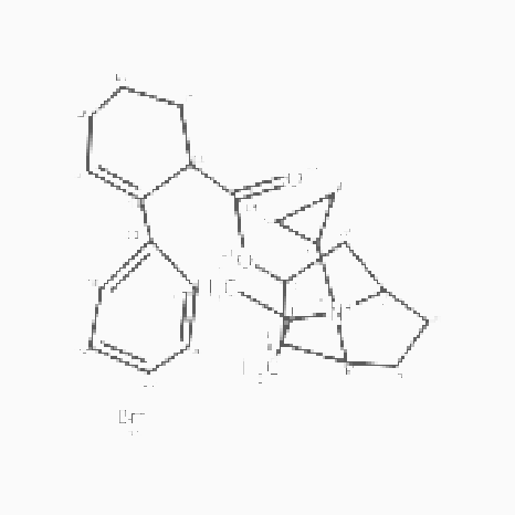 CC(C)[N+]1(C2CC2)C2CCC1CC(OC(=O)C1CCCC=C1c1ccccc1)C2.[Br-]